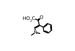 CN(C)/C=C(/C(=O)C(=O)O)c1ccccc1